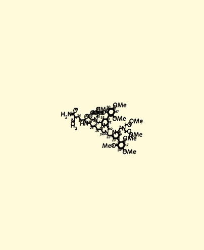 COOCN(COOC)Cc1cc(-c2c(OC)cc(OC)cc2OC)cc(CN(CCCCCCNC(=O)CCC(N)C(N)=O)Cc2cc(-c3c(OC)cc(OC)cc3OC)cc(CN(COOC)COOC)n2)n1